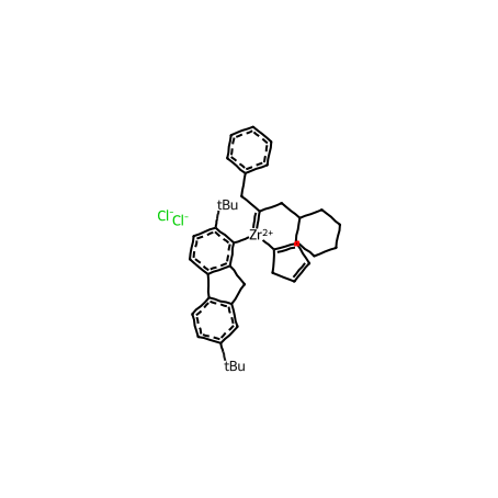 CC(C)(C)c1ccc2c(c1)Cc1c-2ccc(C(C)(C)C)[c]1/[Zr+2]([C]1=CC=CC1)=[C](\Cc1ccccc1)CC1CCCCC1.[Cl-].[Cl-]